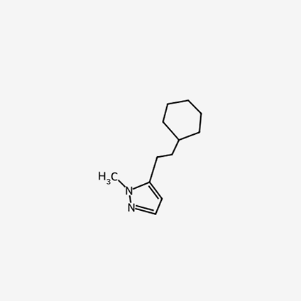 Cn1nccc1CCC1CCCCC1